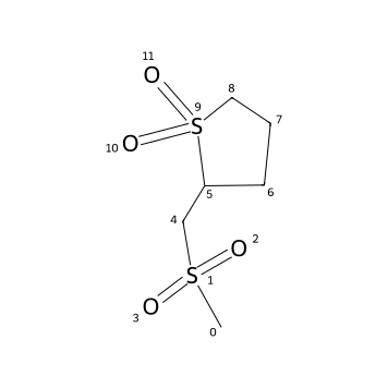 CS(=O)(=O)CC1CCCS1(=O)=O